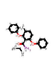 Cc1ccc(Oc2ccccc2)c(C(=O)P)c1Oc1ccccc1.[Li][CH2]C(C)C